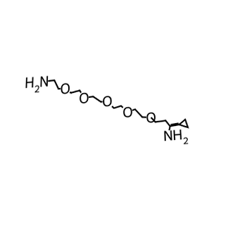 NCCOCCOCCOCCOCCOCCC(N)=C1CC1